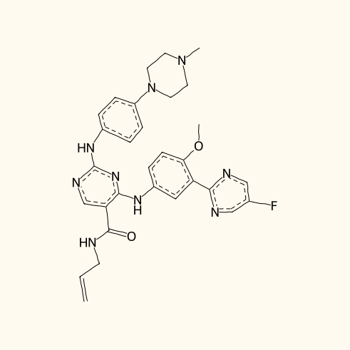 C=CCNC(=O)c1cnc(Nc2ccc(N3CCN(C)CC3)cc2)nc1Nc1ccc(OC)c(-c2ncc(F)cn2)c1